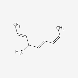 C/C=C\C=CC(C)/C=C/C(F)(F)F